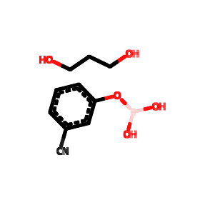 N#Cc1cccc(OB(O)O)c1.OCCCO